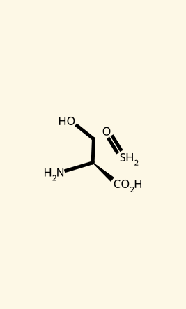 N[C@@H](CO)C(=O)O.O=[SH2]